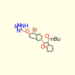 CCCCC(=O)c1c(-c2ccc3c(Br)c(OCc4nnn[nH]4)ccc3c2)oc2ccccc12